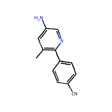 Cc1cc(N)cnc1-c1ccc(C#N)cc1